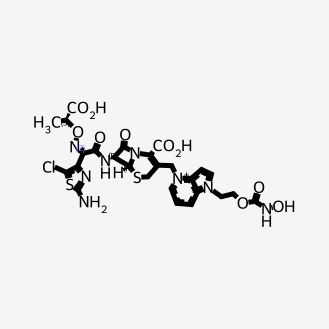 C[C@H](O/N=C(\C(=O)N[C@@H]1C(=O)N2C(C(=O)O)=C(C[n+]3cccc4c3ccn4CCOC(=O)NO)CS[C@H]12)c1nc(N)sc1Cl)C(=O)O